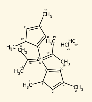 CC1=CC(C)[C]([Zr]([C]2=CC(C)=CC2C)(=[C](C)C)=[C](C)C)=C1.Cl.Cl